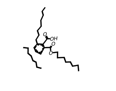 CCCCCCCC.CCCCCCCCOC(=O)c1cccc(CCCCCCCC)c1C(=O)O